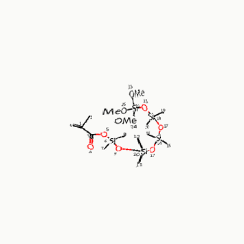 C=C(C)C(=O)O[Si](C)(C)O[Si](C)(C)O[Si](C)(C)O[Si](C)(C)O[Si](OC)(OC)OC